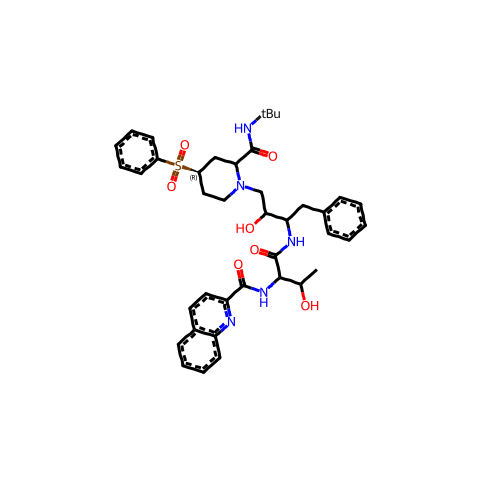 CC(O)C(NC(=O)c1ccc2ccccc2n1)C(=O)NC(Cc1ccccc1)C(O)CN1CC[C@@H](S(=O)(=O)c2ccccc2)CC1C(=O)NC(C)(C)C